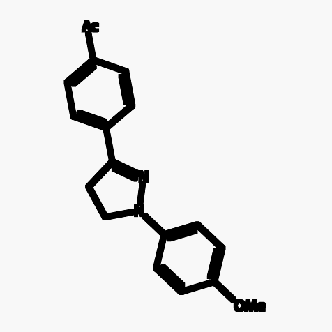 COc1ccc(N2CCC(c3ccc(C(C)=O)cc3)=N2)cc1